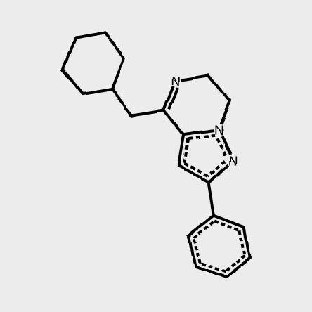 c1ccc(-c2cc3n(n2)CCN=C3CC2CCCCC2)cc1